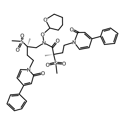 C[C@@](CCn1ccc(-c2ccccc2)cc1=O)(CN(OC1CCCCO1)C(=O)[C@@](C)(CCn1ccc(-c2ccccc2)cc1=O)S(C)(=O)=O)S(C)(=O)=O